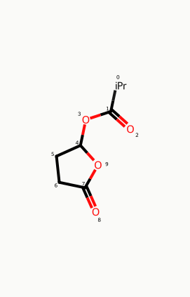 CC(C)C(=O)OC1CCC(=O)O1